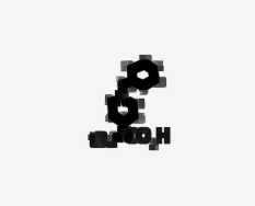 CC(C)(C)N(C(=O)O)C1CCN(CC2CCCCC2)CC1